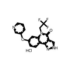 Cl.O=c1c2c[nH]nc2c2ccc(Oc3cccnc3)cc2n1CC(F)(F)F